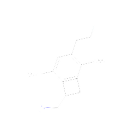 COc1cc(CCF)c(SC)c2c1C(CN)C2